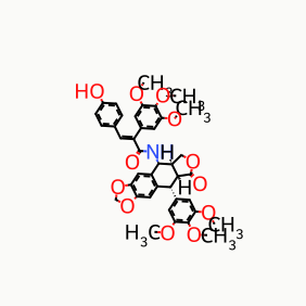 COc1cc(/C(=C\c2ccc(O)cc2)C(=O)N[C@@H]2c3cc4c(cc3[C@@H](c3cc(OC)c(OC)c(OC)c3)[C@H]3C(=O)OC[C@@H]32)OCO4)cc(OC)c1OC